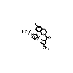 Cc1cc(C(=O)N2CCc3cc(Cl)cc([C@@H]4CCCN4C(=O)O)c3C2)n(C)n1